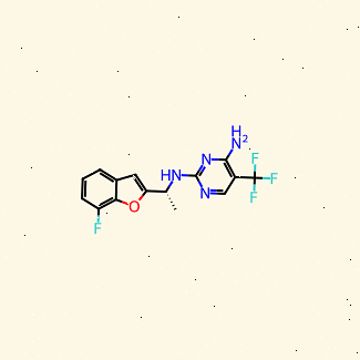 C[C@@H](Nc1ncc(C(F)(F)F)c(N)n1)c1cc2cccc(F)c2o1